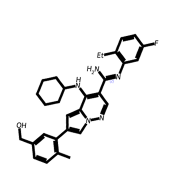 CCc1ccc(F)cc1/N=C(\N)c1cnn2cc(-c3cc(CO)ccc3C)cc2c1NC1CCCCC1